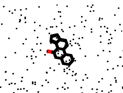 O=C1CC2CCCCC2C2CC=C3C=CC=C3C12